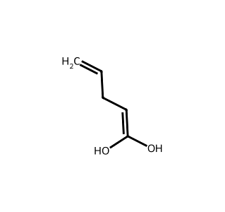 C=CCC=C(O)O